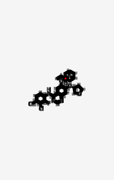 C=CC(=O)N1C2CC(Oc3cc4c(Nc5ccc(Cl)c(Cl)c5F)ncnc4cc3O[C@@H]3CCOC3)CC1C2